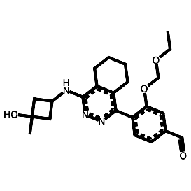 CCOCOc1cc(C=O)ccc1-c1nnc(NC2CC(C)(O)C2)c2c1CCCC2